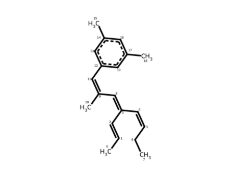 C/C=C/C(/C=C\CC)=C\C(C)=C/c1cc(C)cc(C)c1